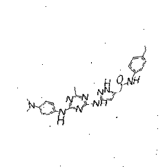 Cc1ccc(NC(=O)Cc2cc(Nc3nc(C)nc(Nc4ccc(N(C)C)cc4)n3)n[nH]2)cc1